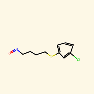 O=NCCCCSc1cccc(Cl)c1